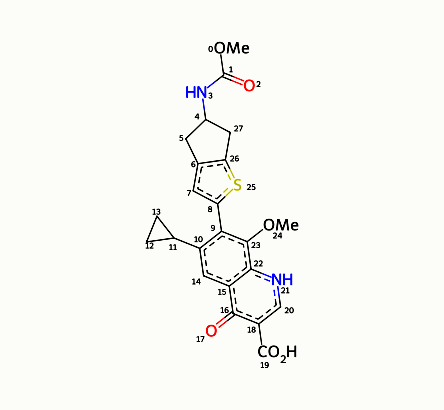 COC(=O)NC1Cc2cc(-c3c(C4CC4)cc4c(=O)c(C(=O)O)c[nH]c4c3OC)sc2C1